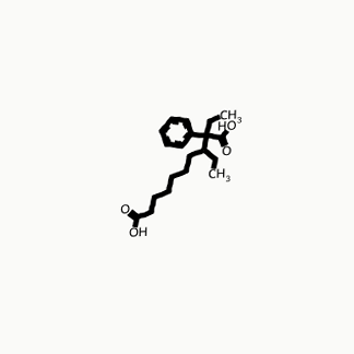 CCC(CCCCCCC(=O)O)C(CC)(C(=O)O)c1ccccc1